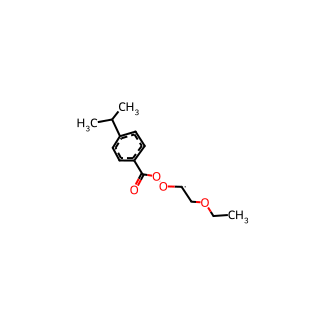 CCOC[CH]OOC(=O)c1ccc(C(C)C)cc1